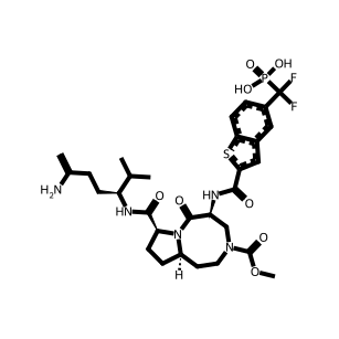 C=C(N)CC[C@H](NC(=O)[C@@H]1CC[C@@H]2CCN(C(=O)OC)C[C@H](NC(=O)c3cc4cc(C(F)(F)P(=O)(O)O)ccc4s3)C(=O)N21)C(C)C